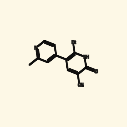 CCc1[nH]c(=O)c(C#N)cc1-c1ccnc(C)c1